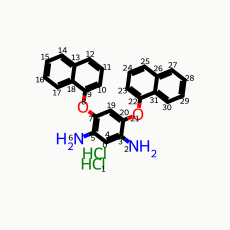 Cl.Cl.Nc1cc(N)c(Oc2cccc3ccccc23)cc1Oc1cccc2ccccc12